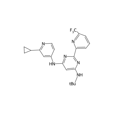 CC(C)(C)Nc1cc(Nc2ccnc(C3CC3)c2)nc(-c2cccc(C(F)(F)F)n2)n1